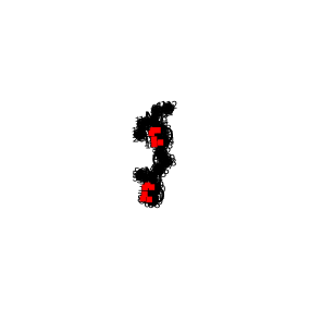 c1ccc(-c2cccc(-c3nc(-c4cccc(-c5ccccc5)c4)nc(-c4ccc5c(c4)C4(c6cc(-c7ccc8oc9c(-c%10ccc(-c%11nc(-c%12ccccc%12)nc(-c%12ccc%13c(c%12)C%12(c%14ccccc%14O%13)c%13ccccc%13-c%13ccccc%13%12)n%11)cc%10)cccc9c8c7)ccc6O5)c5ccccc5-c5ccccc54)n3)c2)cc1